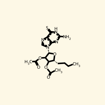 CCCC[C@H]1O[C@@H](n2cnc3c(=S)[nH]c(N)nc32)C(OC(C)=O)C1OC(C)=O